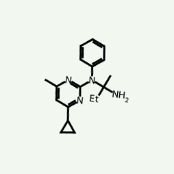 CCC(C)(N)N(c1ccccc1)c1nc(C)cc(C2CC2)n1